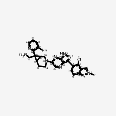 Cn1cc2c(Cl)c(-c3n[nH]c4nc(N5CCC6C(C5)C6(CN)c5ncccc5F)cnc34)ccc2n1